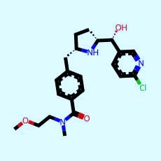 COCCN(C)C(=O)c1ccc(C[C@@H]2CC[C@H]([C@H](O)c3ccc(Cl)nc3)N2)cc1